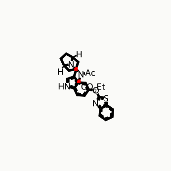 CCOC(=O)CN(C(C)=O)C1C[C@H]2CC[C@@H](C1)N2Cc1c[nH]c2ccc(Oc3nc4ccccc4s3)cc12